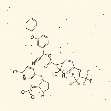 CC1(C)C(/C=C\C(=O)OC(C(F)(F)F)C(F)(F)F)C1C(=O)OC(C#N)c1cccc(Oc2ccccc2)c1.O=[N+]([O-])/N=C1\NCCN1Cc1ccc(Cl)nc1